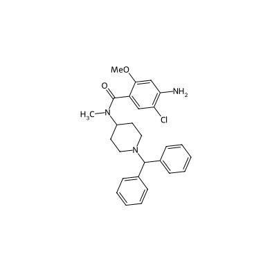 COc1cc(N)c(Cl)cc1C(=O)N(C)C1CCN(C(c2ccccc2)c2ccccc2)CC1